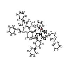 c1ccc(-c2cccc(-c3nc(-c4ccccc4)nc(-c4ccc(-c5ccccc5)cc4-n4c5ccccc5c5c(-c6cccc7c6c6ccc(-c8ccccc8)cc6n7-c6ccccc6)cccc54)n3)c2)cc1